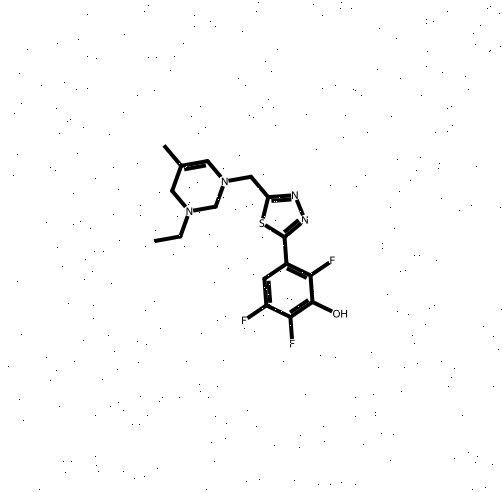 CCN1CC(C)=CN(Cc2nnc(-c3cc(F)c(F)c(O)c3F)s2)C1